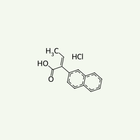 CC=C(C(=O)O)c1ccc2ccccc2c1.Cl